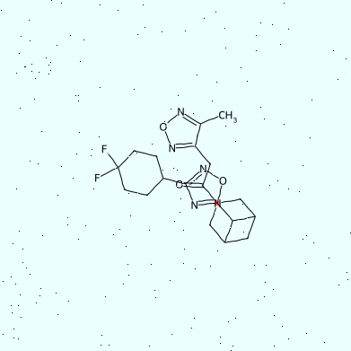 Cc1nonc1CC(=O)N1CC2CC(C1)C2c1nc(C2CCC(F)(F)CC2)no1